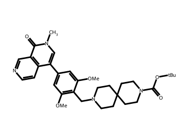 COc1cc(-c2cn(C)c(=O)c3cnccc23)cc(OC)c1CN1CCC2(CC1)CCN(C(=O)OC(C)(C)C)CC2